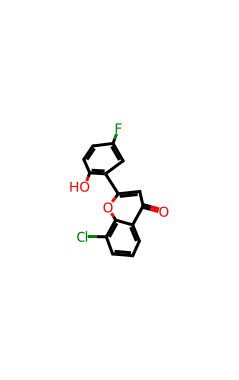 O=c1cc(-c2cc(F)ccc2O)oc2c(Cl)cccc12